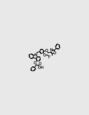 Cc1oc(-c2ccccc2)nc1COc1ccc(Cn2c3ccccc3c3c(OC(C(=O)O)c4ccccc4)cccc32)cc1OCF